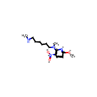 CNCCCCCCN(C)c1nc(OC)ccc1[N+](=O)[O-]